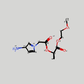 CCOCCOC(=O)C(C)OC(=O)C[N+]1=CC(N)C=C1